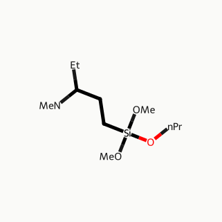 CCCO[Si](CCC(CC)NC)(OC)OC